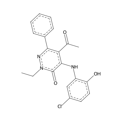 CCn1nc(-c2ccccc2)c(C(C)=O)c(Nc2cc(Cl)ccc2O)c1=O